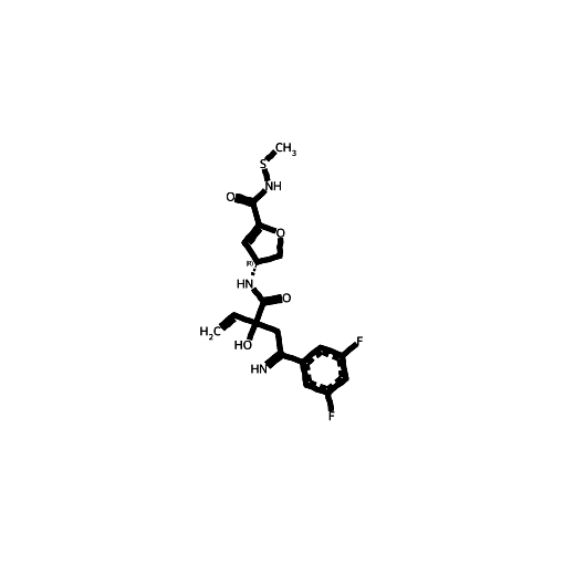 C=CC(O)(CC(=N)c1cc(F)cc(F)c1)C(=O)N[C@@H]1C=C(C(=O)NSC)OC1